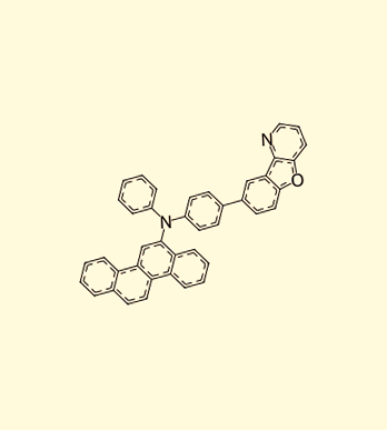 c1ccc(N(c2ccc(-c3ccc4oc5cccnc5c4c3)cc2)c2cc3c4ccccc4ccc3c3ccccc23)cc1